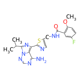 COc1ccc(F)cc1C(=O)NCc1cnc(-c2nc(C(C)C)n3ncnc(N)c23)s1